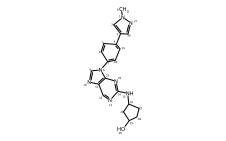 Cn1cc(-c2ccc(-n3cnc4cnc(NC5CCC(O)C5)nc43)cc2)cn1